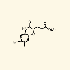 COC(=O)CC[C@H]1Oc2cc(F)c(Br)cc2NC1=O